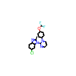 Cc1nc2ccc(Cl)cc2n1C1N=CC=CN1c1ccc(OC(F)F)cc1